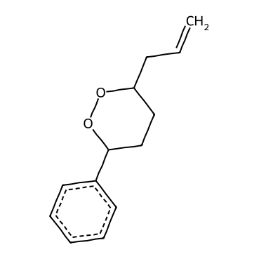 C=CCC1CCC(c2ccccc2)OO1